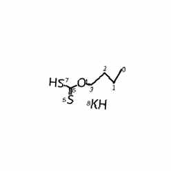 CCCCOC(=S)S.[KH]